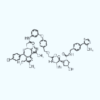 Cc1ncsc1-c1ccc(CNC(=O)[C@@H]2C[C@@H](O)CN2C(=O)C(NC(=O)COCc2ccc(Oc3cccc(NC(=O)C[C@@H]4N=C(c5ccc(Cl)cc5)c5c(sc(C)c5C)-n5c(C)nnc54)c3)cc2)C(C)(C)C)cc1